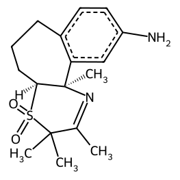 CC1=N[C@]2(C)c3cc(N)ccc3CCC[C@@H]2S(=O)(=O)C1(C)C